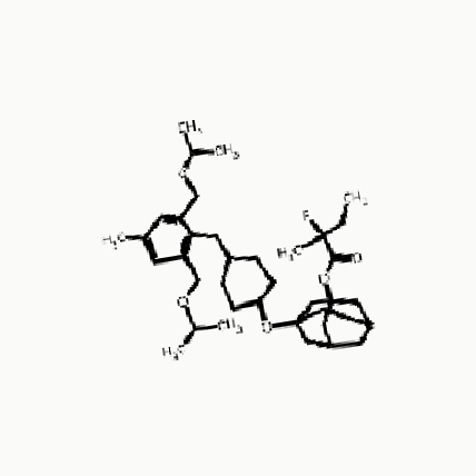 CCC(C)(F)C(=O)OC12CC3CC(C1)CC(OC1CCC(Cc4c(COC(C)C)cc(C)cc4COC(C)C)CC1)(C3)C2